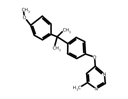 COc1ccc(C(C)(C)c2ccc(Oc3cc(C)ncn3)cc2)cc1